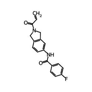 C=CC(=O)N1Cc2ccc(NC(=O)c3ccc(F)cc3)cc2C1